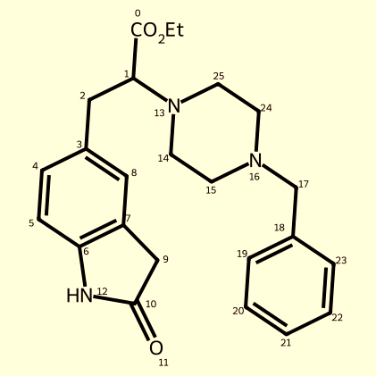 CCOC(=O)C(Cc1ccc2c(c1)CC(=O)N2)N1CCN(Cc2ccccc2)CC1